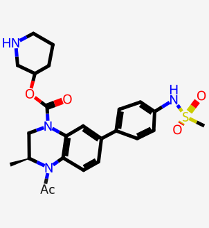 CC(=O)N1c2ccc(-c3ccc(NS(C)(=O)=O)cc3)cc2N(C(=O)OC2CCCNC2)C[C@@H]1C